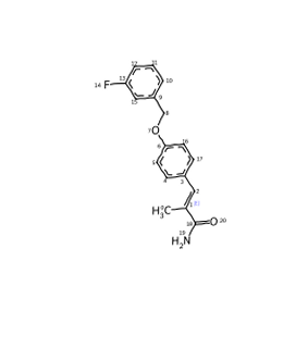 C/C(=C\c1ccc(OCc2cccc(F)c2)cc1)C(N)=O